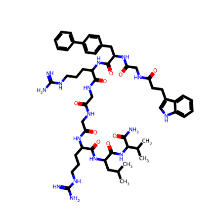 CC(C)CC(NC(=O)C(CCCNC(=N)N)NC(=O)CNC(=O)CNC(=O)C(CCCNC(=N)N)NC(=O)C(Cc1ccc(-c2ccccc2)cc1)NC(=O)CNC(=O)CCc1c[nH]c2ccccc12)C(=O)NC(C(N)=O)C(C)C